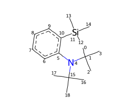 CC(C)(C)N(c1ccccc1[Si](C)(C)C)C(C)(C)C